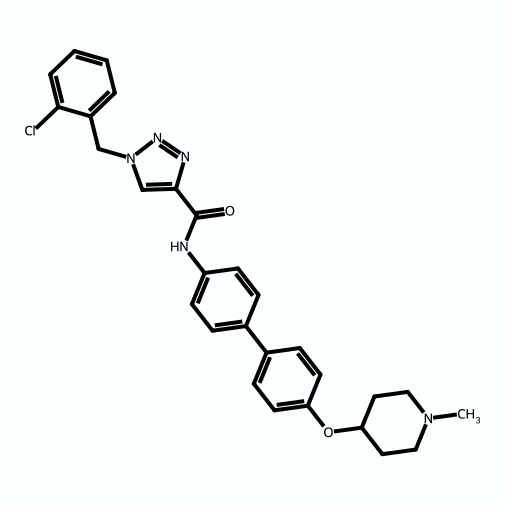 CN1CCC(Oc2ccc(-c3ccc(NC(=O)c4cn(Cc5ccccc5Cl)nn4)cc3)cc2)CC1